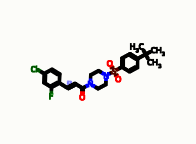 CC(C)(C)c1ccc(S(=O)(=O)N2CCN(C(=O)/C=C/c3ccc(Cl)cc3F)CC2)cc1